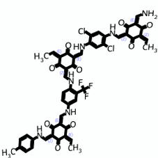 C/C=C1\C(=O)/C(=C/Nc2cc(Cl)c(N/C=C3/C(=O)/C(=C\Nc4ccc(N/C=C5/C(=O)/C(=C\Nc6ccc(C)cc6)C(=O)/C(=C\C)C5=O)cc4C(F)(F)F)C(=O)/C(=C\C)C3=O)cc2Cl)C(=O)/C(=C/N)C1=O